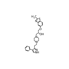 Cc1nc2cc(OC[C@@H](O)CN3CCN(CCc4n[nH]cc4-c4ccccc4)CC3)ccc2s1